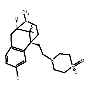 C[C@H]1[C@H]2Cc3ccc(O)cc3[C@@]1(CCN1CCS(=O)(=O)CC1)CCN2C